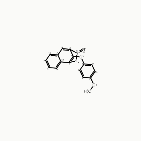 COc1ccc(Oc2c3s[n+](=[N-])c2cc2ccccc23)cc1